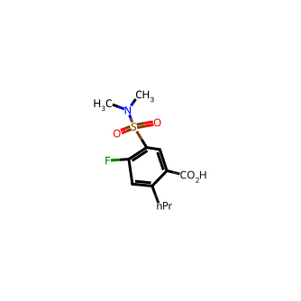 CCCc1cc(F)c(S(=O)(=O)N(C)C)cc1C(=O)O